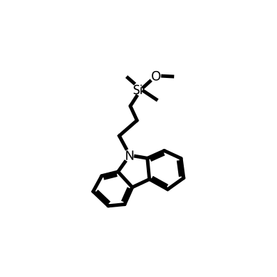 CO[Si](C)(C)CCCn1c2ccccc2c2ccccc21